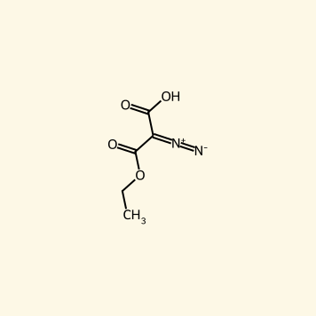 CCOC(=O)C(=[N+]=[N-])C(=O)O